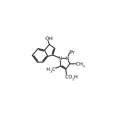 CC1=C(C(=O)O)C(C)N(C(C)C)N1C1=CC(O)c2ccccc21